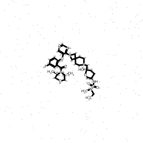 CCN(C)S(=O)(=O)N[C@@H]1CC[C@](O)(CN2CCC3(CC2)CN(c2ncncc2Oc2ccc(F)cc2C(=O)N2[C@H](C)COC[C@H]2C)C3)OC1